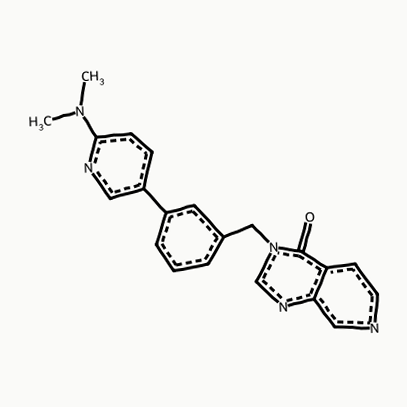 CN(C)c1ccc(-c2cccc(Cn3cnc4cnccc4c3=O)c2)cn1